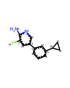 Nc1ncc(-c2cccc(C3CC3)c2)cc1F